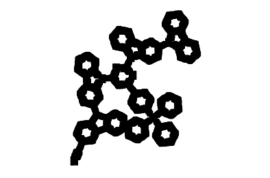 N#Cc1ccc2c(c1)-c1ccccc1C2c1ccc2c3ccccc3n(-c3cc(-c4ccc([Si](c5ccccc5)(c5ccccc5)c5ccccc5)cc4)nc(-n4c5ccccc5c5cc(-n6c7ccccc7c7ccccc76)ccc54)n3)c2c1